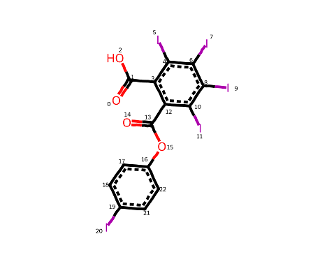 O=C(O)c1c(I)c(I)c(I)c(I)c1C(=O)Oc1ccc(I)cc1